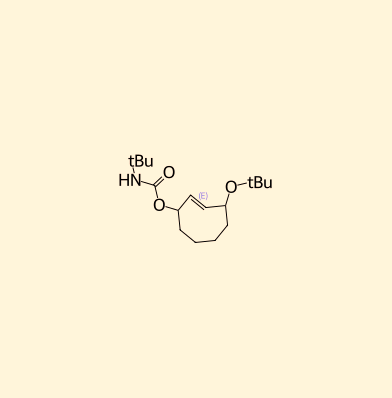 CC(C)(C)NC(=O)OC1/C=C/C(OC(C)(C)C)CCCC1